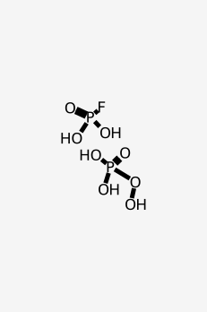 O=P(O)(O)F.O=P(O)(O)OO